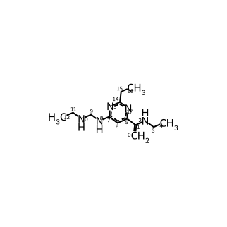 C=C(NCC)c1cc(NCNCC)nc(CC)n1